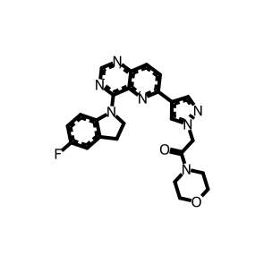 O=C(Cn1cc(-c2ccc3ncnc(N4CCc5cc(F)ccc54)c3n2)cn1)N1CCOCC1